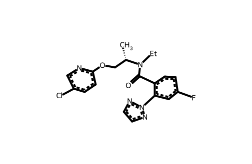 CCN(C(=O)c1ccc(F)cc1-n1nccn1)[C@@H](C)COc1ccc(Cl)cn1